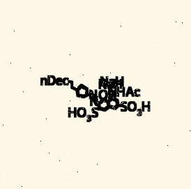 CCCCCCCCCCCCc1ccc(N=Nc2c(S(=O)(=O)O)cc3cc(S(=O)(=O)O)cc(NC(C)=O)c3c2O)cc1.[NaH].[NaH]